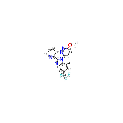 CCOc1ccc(-n2c(-c3ccccn3)nc3cc(C(F)(F)F)ccc32)nn1